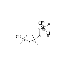 CC(C)(Cl)CC(C)(C)CC[Si](C)(Cl)Cl